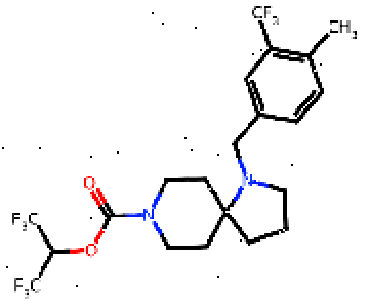 Cc1ccc(CN2CCCC23CCN(C(=O)OC(C(F)(F)F)C(F)(F)F)CC3)cc1C(F)(F)F